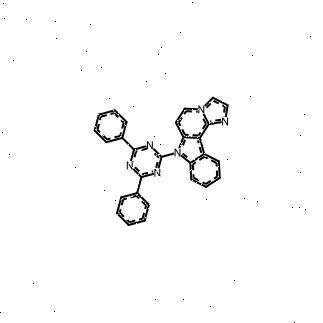 c1ccc(-c2nc(-c3ccccc3)nc(-n3c4ccccc4c4c3ccn3ccnc43)n2)cc1